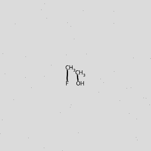 CF.CO